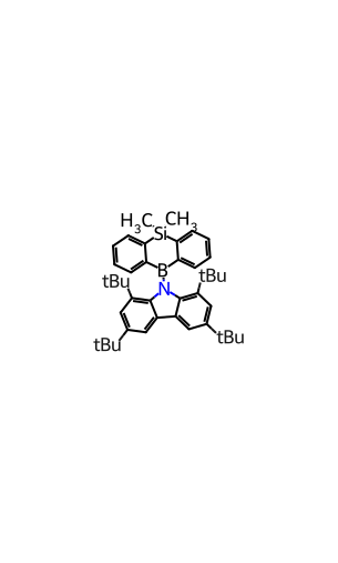 CC(C)(C)c1cc(C(C)(C)C)c2c(c1)c1cc(C(C)(C)C)cc(C(C)(C)C)c1n2B1c2ccccc2[Si](C)(C)c2ccccc21